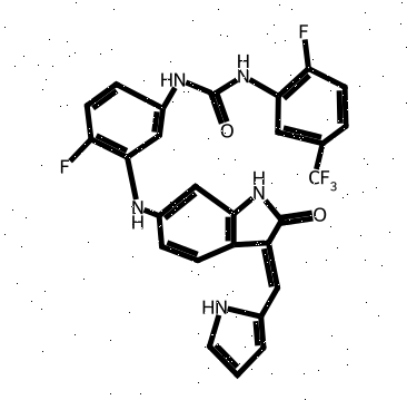 O=C(Nc1ccc(F)c(Nc2ccc3c(c2)NC(=O)C3=Cc2ccc[nH]2)c1)Nc1cc(C(F)(F)F)ccc1F